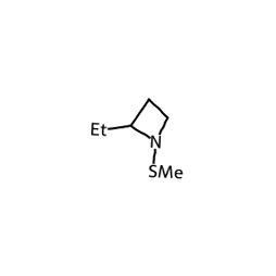 CCC1CCN1SC